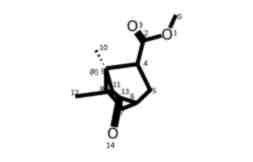 COC(=O)C1CC2CC[C@]1(C)C(C)C2=O